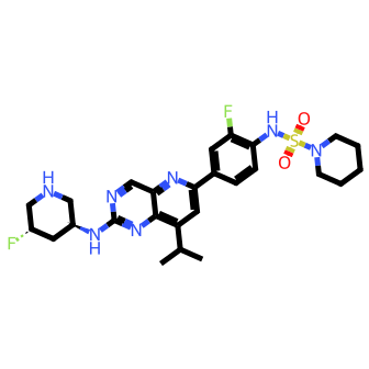 CC(C)c1cc(-c2ccc(NS(=O)(=O)N3CCCCC3)c(F)c2)nc2cnc(N[C@@H]3CNC[C@@H](F)C3)nc12